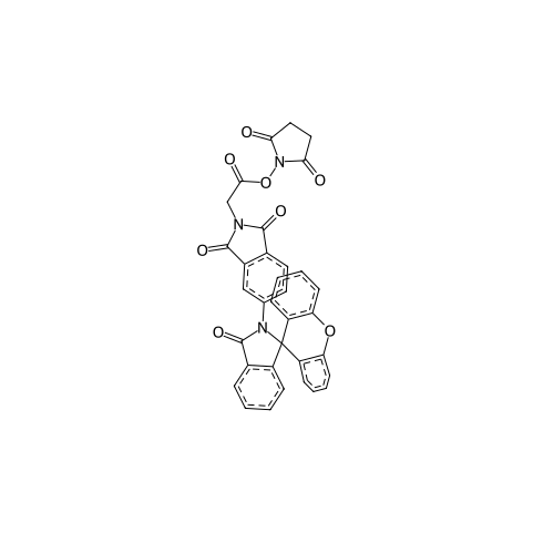 O=C(CN1C(=O)c2ccc(N3C(=O)c4ccccc4C34c3ccccc3Oc3ccccc34)cc2C1=O)ON1C(=O)CCC1=O